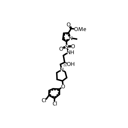 COC(=O)c1ccc(S(=O)(=O)NC[C@@H](O)CN2CCC(Oc3ccc(Cl)c(Cl)c3)CC2)n1C